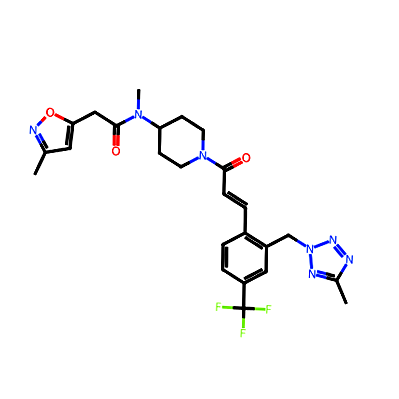 Cc1cc(CC(=O)N(C)C2CCN(C(=O)C=Cc3ccc(C(F)(F)F)cc3Cn3nnc(C)n3)CC2)on1